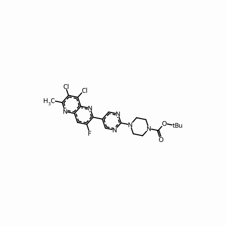 Cc1nc2cc(F)c(-c3cnc(N4CCN(C(=O)OC(C)(C)C)CC4)nc3)nc2c(Cl)c1Cl